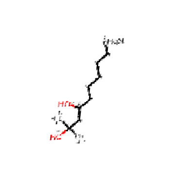 CCCCCCCCCCCCC(O)CC(C)(C)O